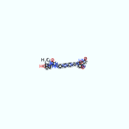 C=CCn1c(=O)c2cnc(Nc3ccc(N4CCN(C5CCN(C6CC(n7ccc8c9c(C%10CCC(=O)NC%10=O)noc9ccc87)C6)CC5)CC4)cc3)nc2n1-c1ccc2c(n1)[C@@](O)(CC)CC2